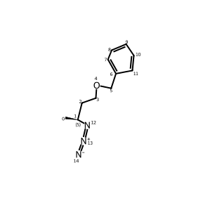 C[C@@H](CCOCc1ccccc1)N=[N+]=[N-]